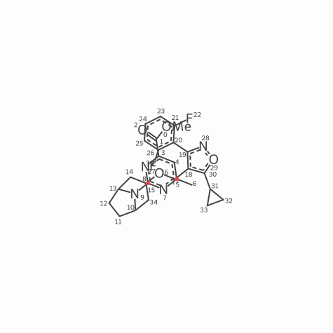 COC(=O)c1cc(C)nc(N2C3CCC2CC(OCc2c(-c4c(F)cccc4F)noc2C2CC2)C3)n1